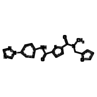 CN(Cc1ccco1)C(=O)c1ccc(C(=O)Nc2ccc(-n3cncn3)cc2)s1